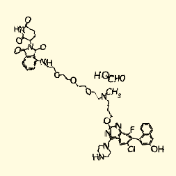 CN(CCCOc1nc(N2CCNCC2)c2cc(Cl)c(-c3cc(O)cc4ccccc34)c(F)c2n1)CCOCCOCCOCCNc1cccc2c1C(=O)N(C1CCC(=O)NC1=O)C2=O.O=CO